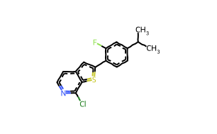 CC(C)c1ccc(-c2cc3ccnc(Cl)c3s2)c(F)c1